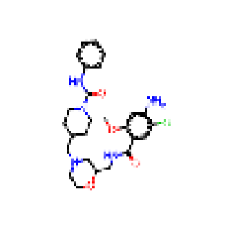 COc1cc(N)c(Cl)cc1C(=O)NCC1CN(CC2CCN(C(=O)Nc3ccccc3)CC2)CCO1